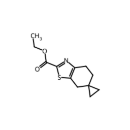 CCOC(=O)c1nc2c(s1)CC1(CC2)CC1